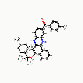 C[C@H]1CC[C@H]2[C@H](C1)c1c(c3ccccc3c3nc4cc(C(=O)c5ccc(C(F)(F)F)cc5)ccc4nc13)OC2(C)C